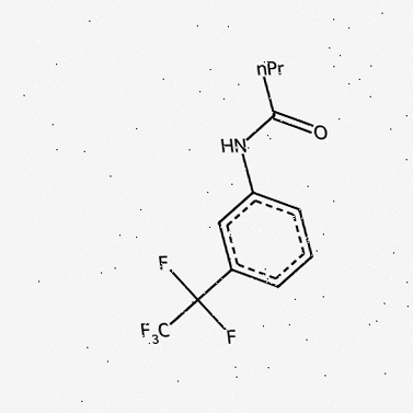 [CH2]CCC(=O)Nc1cccc(C(F)(F)C(F)(F)F)c1